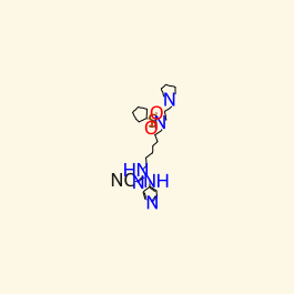 N#C/N=C(\NCCCCCCCN(CCCN1CCCCC1)S(=O)(=O)C1CCCCC1)Nc1ccncc1